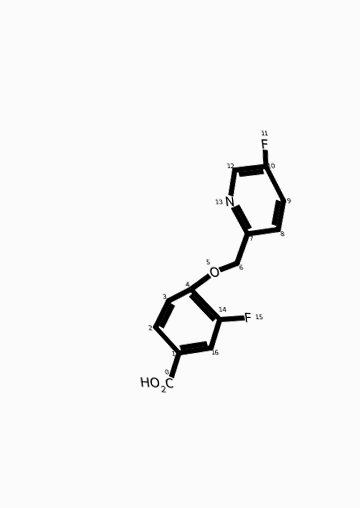 O=C(O)c1ccc(OCc2ccc(F)cn2)c(F)c1